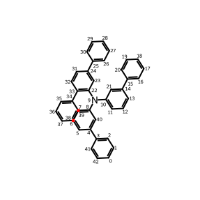 c1ccc(-c2cccc(N(c3cccc(-c4ccccc4)c3)c3cc(-c4ccccc4)ccc3-c3ccccc3)c2)cc1